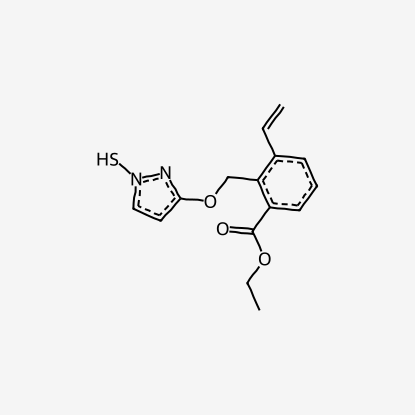 C=Cc1cccc(C(=O)OCC)c1COc1ccn(S)n1